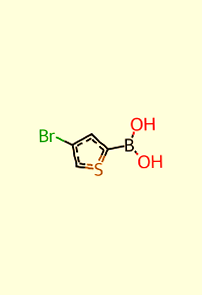 OB(O)c1cc(Br)cs1